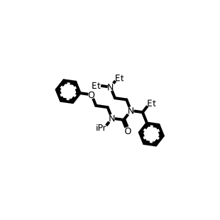 CCC(c1ccccc1)N(CCN(CC)CC)C(=O)N(CCOc1ccccc1)C(C)C